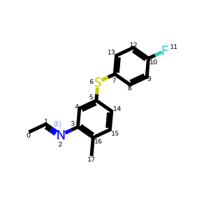 C/C=N/c1cc(Sc2ccc(F)cc2)ccc1C